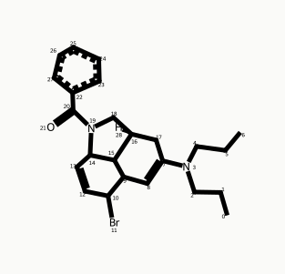 CCCN(CCC)C1=CC2C(Br)C=CC3C2[C@@H](C1)CN3C(=O)c1ccccc1